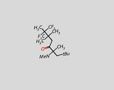 CNC(C)(CC(C)(C)C)C(=O)CC(C)(C)C(C)(C(F)(F)F)C(F)(F)F